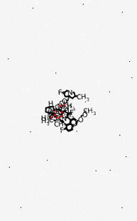 C=C1CN2C[C@H](F)C[C@@]2(COc2nc3c4c(nc(-c5cc(OCOC)cc6ccc(F)c(C#C[Si](C(C)C)(C(C)C)C(C)C)c56)c(F)c4n2)OC[C@@H]2[C@@H]4CC[C@H](CN32)N4C(=O)OC(C)(C)C)C1